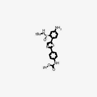 CC(C)OC(=O)Nc1ccc(-c2ncc(-c3ccc(N)cc3[S+]([O-])NC(C)(C)C)s2)cc1